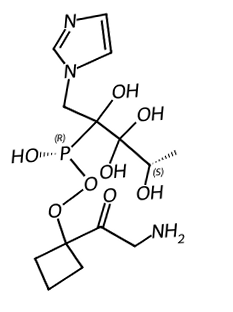 C[C@H](O)C(O)(O)C(O)(Cn1ccnc1)[P@@](O)OOC1(C(=O)CN)CCC1